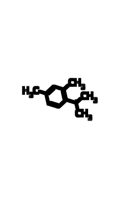 C[C](C)c1ccc(C)cc1C